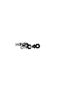 O=C(NO)c1ncc2c(n1)CCN(C1CC3(CCCCC3)C1)C2